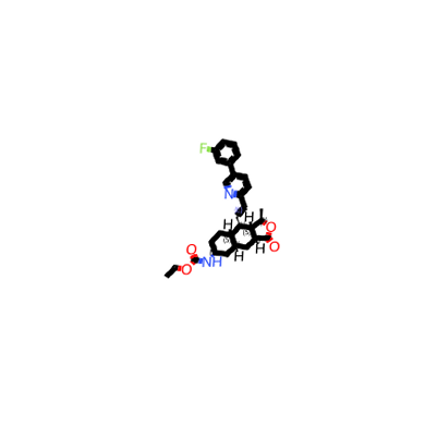 CCOC(=O)N[C@H]1CC[C@H]2[C@H](C1)C[C@@H]1C(=O)O[C@H](C)[C@H]1[C@H]2/C=C/c1ccc(-c2cccc(F)c2)cn1